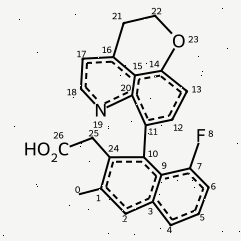 Cc1cc2cccc(F)c2c(-c2ccc3c4c(ccnc24)CCO3)c1CC(=O)O